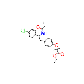 CCOC(=O)C(C)(C)Oc1ccc(CC(NC(=O)CC)c2ccc(Cl)cc2)cc1